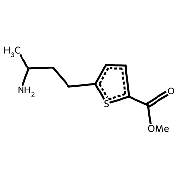 COC(=O)c1ccc(CCC(C)N)s1